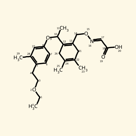 CCOCCc1ccc(OC(C)C2=C(CON=CC(=O)O)CC(C)=C(C)C2)cc1C